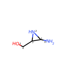 NC1NC1CO